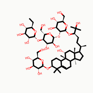 CC[C@H]1O[C@H](O[C@@H]2[C@@H](O)[C@H](O)[C@@H](O[C@H]3[C@H](O[C@H](CC[C@@H](C)C4CC[C@@]5(C)C6CC=C7C(CC[C@H](O[C@@H]8O[C@H](CO)[C@@H](O)[C@H](O)[C@H]8O)C7(C)C)[C@]6(C)[C@H](O)C[C@]45C)C(C)(C)O)O[C@H](CO)[C@@H](O)[C@@H]3O)O[C@H]2CO)[C@H](O)[C@@H](O)[C@@H]1O